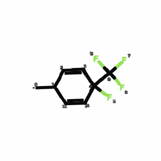 [CH2]C1C=CC(F)(C(F)(F)F)C=C1